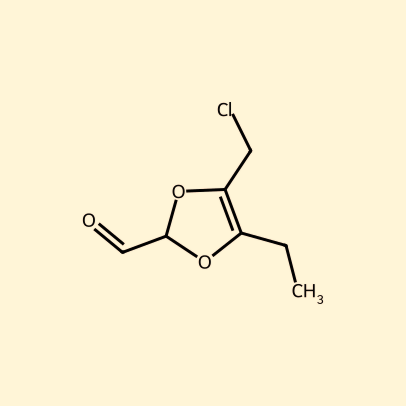 CCC1=C(CCl)OC(C=O)O1